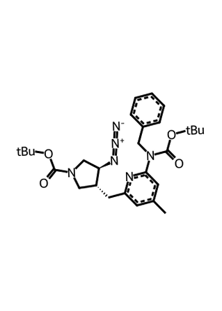 Cc1cc(C[C@@H]2CN(C(=O)OC(C)(C)C)C[C@H]2N=[N+]=[N-])nc(N(Cc2ccccc2)C(=O)OC(C)(C)C)c1